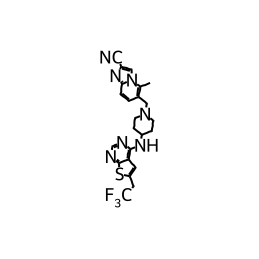 Cc1c(CN2CCC(Nc3ncnc4sc(CC(F)(F)F)cc34)CC2)ccc2nc(C#N)cn12